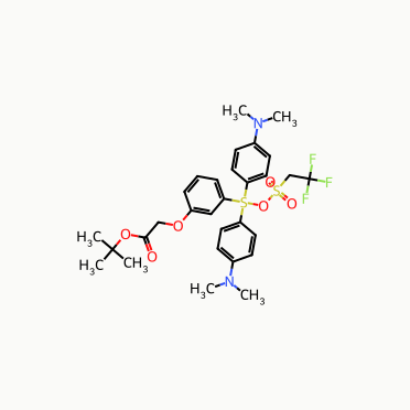 CN(C)c1ccc(S(OS(=O)(=O)CC(F)(F)F)(c2ccc(N(C)C)cc2)c2cccc(OCC(=O)OC(C)(C)C)c2)cc1